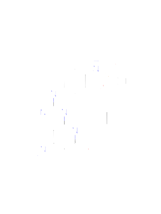 CS(=O)(=O)NC1CCC(Nc2ncc3c(N)cc(=O)n(C4CCCCC4)c3n2)CC1